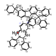 C=C/C=C\C(=C/n1c2ccc(C3(C)C=CC=CC3)cc2c2ccc3c(c21)C(c1ccccc1)(c1ccccc1)c1ccccc1-3)CNNC(c1ccccc1)[C@@H](N)c1ccccc1